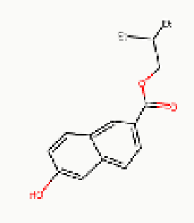 CCC(CC)COC(=O)c1ccc2cc(O)ccc2c1